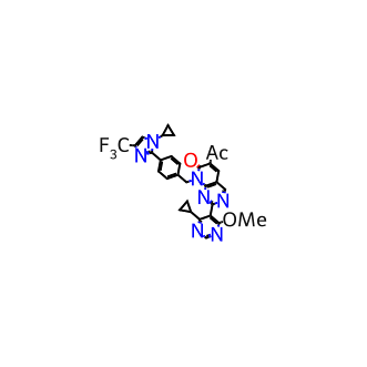 COc1ncnc(C2CC2)c1-c1ncc2cc(C(C)=O)c(=O)n(Cc3ccc(-c4nc(C(F)(F)F)cn4C4CC4)cc3)c2n1